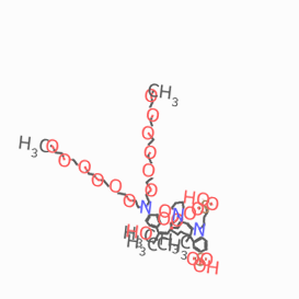 COCCOCCOCCOCCOCCOCCN(CCOCCOCCOCCOCCOCCOC)c1ccc(/C(=C\C/C=C/C=C2/N(CCCS(=O)(=O)O)c3ccc(S(=O)(=O)O)cc3C2(C)CCCC(=O)ON2C(=O)CCC2=O)C(C)(C)C)c(O)c1